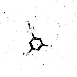 CCN.Cc1cc(C)cc(C)c1